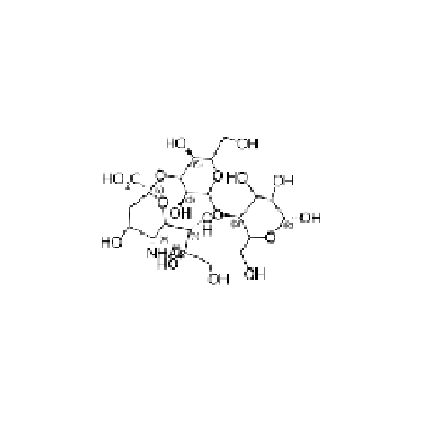 CC(=O)N[C@@H]1C(O)C[C@](OC2[C@H](O)C(O[C@@H]3C(CO)O[C@@H](O)C(O)C3O)OC(CO)[C@@H]2O)(C(=O)O)OC1[C@H](O)[C@H](O)CO